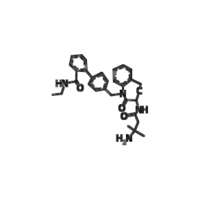 CCNC(=O)c1ccccc1-c1ccc(CN2C(=O)C(NC(=O)CC(C)(C)N)CCc3ccccc32)cc1